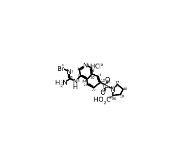 Cl.NC(=NBr)Nc1cncc2cc(S(=O)(=O)N3CCC[C@@H]3C(=O)O)ccc12